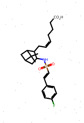 CC1(C)C2CC(NS(=O)(=O)C=Cc3ccc(F)cc3)C(C/C=C\CCCC(=O)O)C1C2